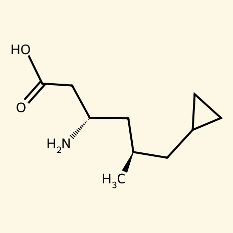 C[C@H](CC1CC1)C[C@H](N)CC(=O)O